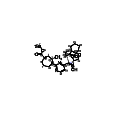 C[C@H]1CN(C(=O)OC(C)(C)C)CCCN1c1nccc(/C(=N\O)[C@@H]2CCC[C@@]3(CCCCC34OCCO4)C2=O)n1